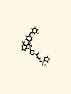 CN(C/C=C/C(=O)N1CCC(n2nc(-c3ccc(Oc4ccccc4)cc3)c3c(N)ncnc32)C1)C1CCOC1